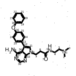 CN(C)CCNC(=O)CCn1cc(-c2ccc(Oc3ccccc3)cc2)c2c(N)ncnc21